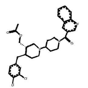 CC(=O)OC[C@@H]1CN(C2CCN(C(=O)c3cnc4ccccc4c3)CC2)CCC1Cc1ccc(Cl)c(Cl)c1